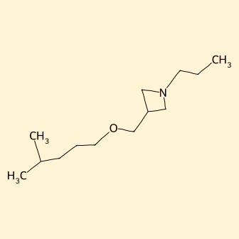 CCCN1CC(COCCCC(C)C)C1